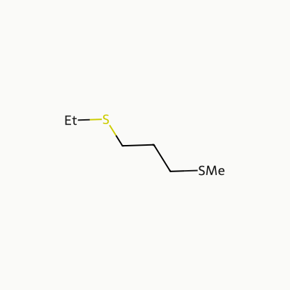 [CH2]CSCCCSC